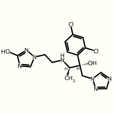 C[C@@H](NCCn1cnc(O)n1)[C@](O)(Cn1cncn1)c1ccc(Cl)cc1Cl